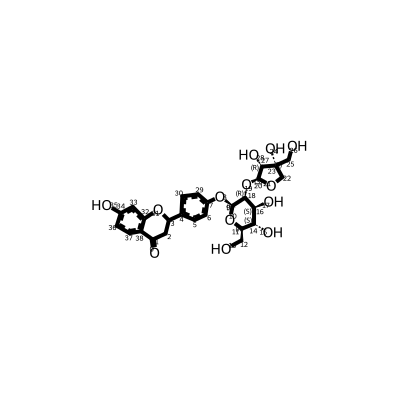 O=C1CC(c2ccc(O[C@@H]3O[C@H](CO)[C@@H](O)[C@H](O)[C@H]3O[C@@H]3OC[C@](O)(CO)[C@H]3O)cc2)Oc2cc(O)ccc21